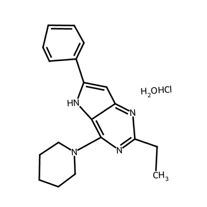 CCc1nc(N2CCCCC2)c2[nH]c(-c3ccccc3)cc2n1.Cl.O